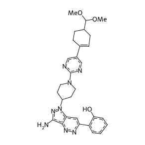 COC(OC)C1CC=C(c2cnc(N3CCC(n4nc(N)c5nnc(-c6ccccc6O)cc54)CC3)nc2)CC1